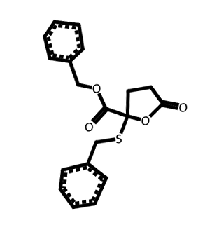 O=C1CCC(SCc2ccccc2)(C(=O)OCc2ccccc2)O1